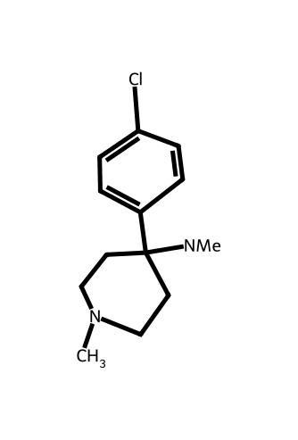 CNC1(c2ccc(Cl)cc2)CCN(C)CC1